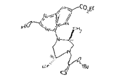 CCOC(=O)c1cc2nc(O)nc(N3C[C@@H](CC)N(C(=O)OC(C)(C)C)C[C@@H]3C)n2n1